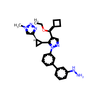 CCOC(=C1CCC1)c1cnn(-c2cccc(-c3cccc(NN)c3)c2)c1C1C[C@H]1c1cn(C)nn1